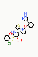 O=C1NC(c2ccsc2)(c2cccc(Oc3ccccc3-c3cn[nH]c3)n2)CC(O)=C1Sc1ccccc1Cl